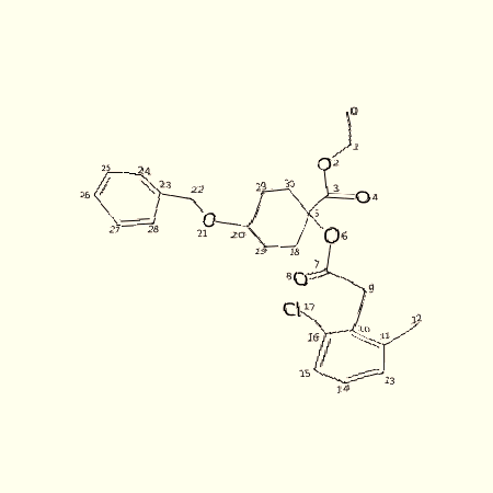 CCOC(=O)C1(OC(=O)Cc2c(C)cccc2Cl)CCC(OCc2ccccc2)CC1